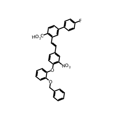 O=C(O)c1ccc(-c2ccc(F)cc2)cc1/C=C/c1ccc(Oc2ccccc2OCc2ccccc2)c([N+](=O)[O-])c1